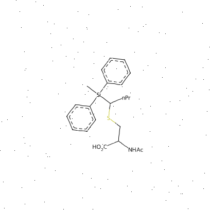 CCCC(SCC(NC(C)=O)C(=O)O)[Si](C)(c1ccccc1)c1ccccc1